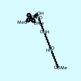 COC(=O)CCCCCCCCCCCNC(=O)CCCCCCCCCCCNC(=O)CCCCCCCCC(=O)N1CC(C)(CO)C(C)(COC(c2ccccc2)(c2ccc(OC)cc2)c2ccc(OC)cc2)C1